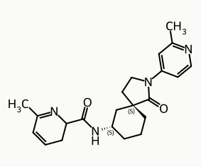 CC1=NC(C(=O)N[C@H]2CCC[C@]3(CCN(c4ccnc(C)c4)C3=O)C2)CC=C1